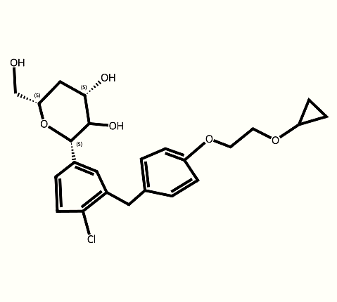 OC[C@@H]1C[C@H](O)C(O)[C@H](c2ccc(Cl)c(Cc3ccc(OCCOC4CC4)cc3)c2)O1